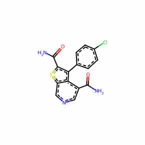 NC(=O)c1sc2cncc(C(N)=O)c2c1-c1ccc(Cl)cc1